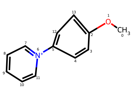 COc1ccc(-[n+]2ccccc2)cc1